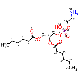 CCCCCC(=O)OC[C@H](COP(=O)(O)OCCN)OC(=O)CCCCC